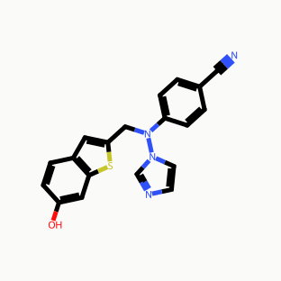 N#Cc1ccc(N(Cc2cc3ccc(O)cc3s2)n2ccnc2)cc1